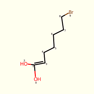 OC(O)=CCCCCCBr